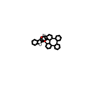 c1ccc2c(c1)-c1ccccc1-c1ccc3ncccc3c1-c1c-2cccc1-c1cccc2c1oc1ccccc12